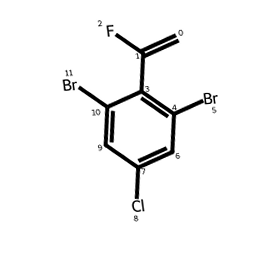 C=C(F)c1c(Br)cc(Cl)cc1Br